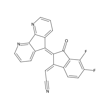 N#C/C=C1/C(=C2c3cccnc3-c3ncccc32)C(=O)c2c1ccc(F)c2F